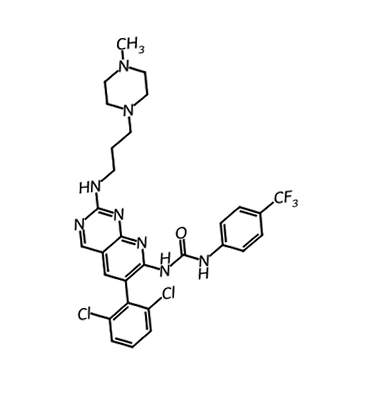 CN1CCN(CCCNc2ncc3cc(-c4c(Cl)cccc4Cl)c(NC(=O)Nc4ccc(C(F)(F)F)cc4)nc3n2)CC1